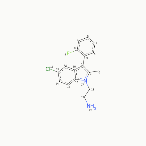 Cc1c(-c2ccccc2F)c2cc(Cl)ccc2n1CCN